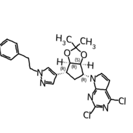 CC1(C)O[C@@H]2[C@H](O1)[C@@H](c1cnn(CCc3ccccc3)c1)C[C@H]2n1ccc2c(Cl)nc(Cl)nc21